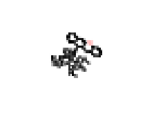 CC(C)[Si](C#Cc1c2cc3ccccc3bc2cc2ccccc12)(C(C)C)C(C)C